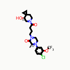 C[C@H]1C(=O)N(CCCC(=O)N2CCC3(CC3)[C@H](O)C2)CCN1c1ccc(Cl)c(OC(F)(F)F)c1